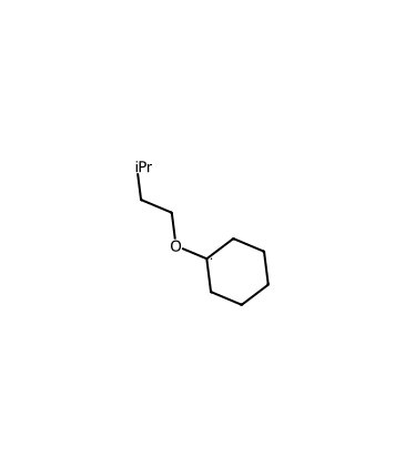 CC(C)CCO[C]1CCCCC1